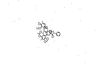 COc1c(C)cc2c(c1O)C1C3Cc4c(OC(C)=O)c(C)c5c(c4[C@H](CNC(=O)Cc4ccccc4)N3[C@@H](O)C(C2)N1C)OCO5